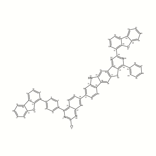 Clc1nc(-c2ccc(-c3cccc4c3oc3ccccc34)cc2)c2ccc(-c3ccc4c(c3)[nH]c3cc5c(cc34)sc3c(-c4ccccc4)nc(-c4cccc6c4oc4ccccc46)nc35)cc2n1